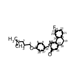 CN(C)CCCOc1ccc(-n2nc3c(cc2=O)CCc2ccc(F)cc2-3)cc1